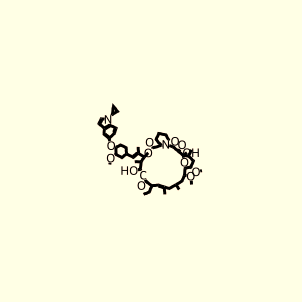 CCC1/C=C(\C)CC(C)CC(OC)C2OC(O)(C(=O)C(=O)N3CCCCC3C(=O)OC(C(C)=CC3CCC(Oc4ccc5c(ccn5C5CC5)c4)C(OC)C3)C(C)C(O)CC1=O)C(C)CC2OC